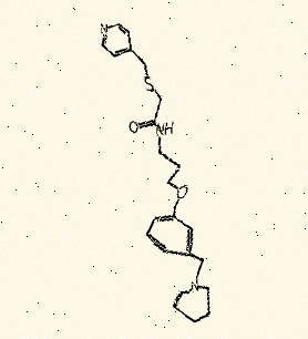 O=C(CSCc1ccncc1)NCCCOc1cccc(CN2CCCCC2)c1